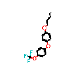 [CH2]CCCOc1ccc(Oc2ccc(OC(F)(F)F)cc2)cc1